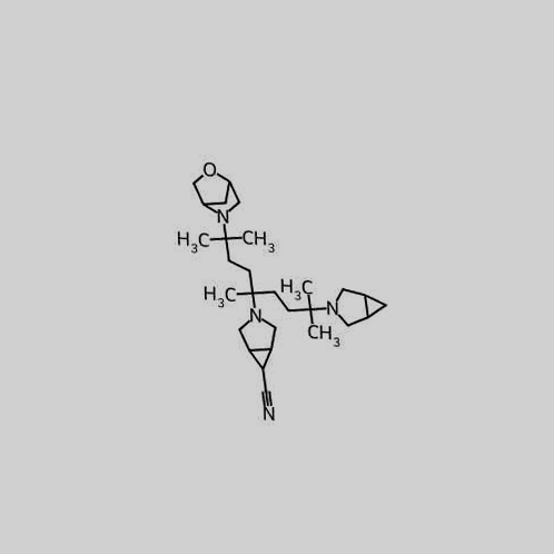 CC(C)(CCC(C)(CCC(C)(C)N1CC2CC1CO2)N1CC2C(C#N)C2C1)N1CC2CC2C1